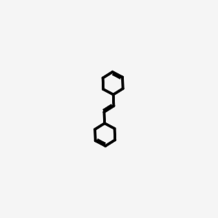 C1=CCC(C=CC2CC=CCC2)CC1